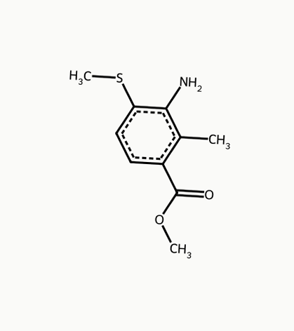 COC(=O)c1ccc(SC)c(N)c1C